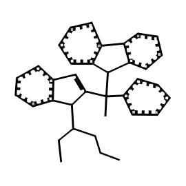 CCCC(CC)C1C(C(C)(c2ccccc2)C2c3ccccc3-c3ccccc32)=Cc2ccccc21